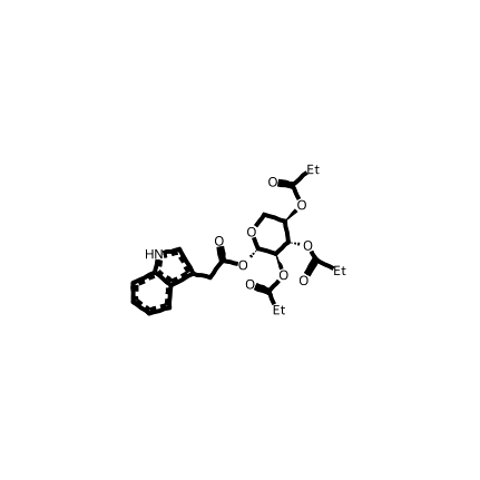 CCC(=O)O[C@@H]1[C@@H](OC(=O)CC)[C@H](OC(=O)Cc2c[nH]c3ccccc23)OC[C@H]1OC(=O)CC